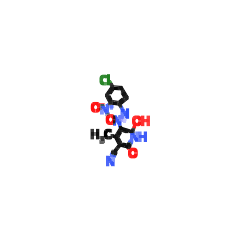 Cc1c(/N=N/c2ccc(Cl)cc2[N+](=O)[O-])c(O)[nH]c(=O)c1C#N